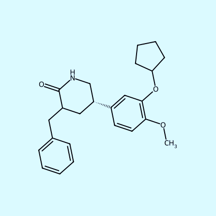 COc1ccc([C@H]2CNC(=O)C(Cc3ccccc3)C2)cc1OC1CCCC1